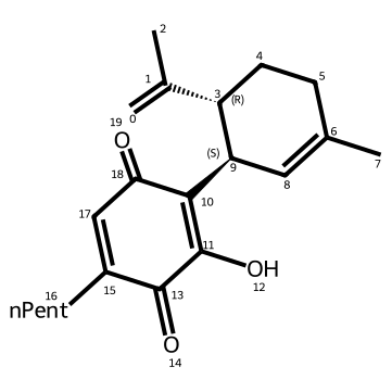 C=C(C)[C@@H]1CCC(C)=C[C@H]1C1=C(O)C(=O)C(CCCCC)=CC1=O